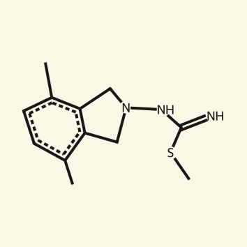 CSC(=N)NN1Cc2c(C)ccc(C)c2C1